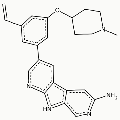 C=Cc1cc(OC2CCN(C)CC2)cc(-c2cnc3[nH]c4cnc(N)cc4c3c2)c1